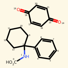 O=C(O)NC1(c2ccccc2)CCCCC1.O=C1C=CC(=O)C=C1